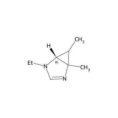 CCN1C=NC2(C)C(C)[C@@H]12